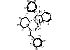 O=[PH]1C2C=CC=C[C@@H]2[C@@H](c2ccccc2)N1[C@H]1CCCC[C@@H]1NCc1ccccc1